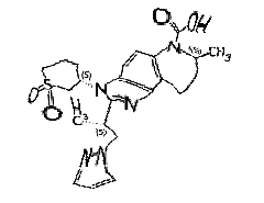 C[C@@H](Cn1cccn1)c1nc2c3c(ccc2n1[C@H]1CCCS(=O)(=O)C1)N(C(=O)O)[C@@H](C)CC3